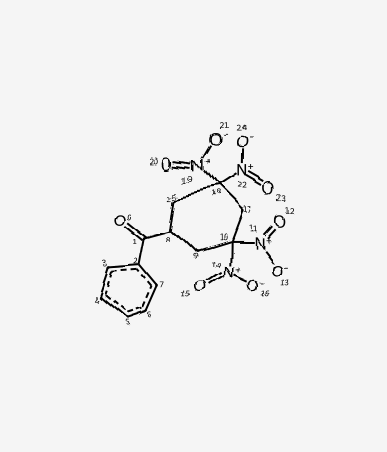 O=C(c1ccccc1)C1CC([N+](=O)[O-])([N+](=O)[O-])CC([N+](=O)[O-])([N+](=O)[O-])C1